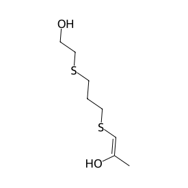 CC(O)=CSCCCSCCO